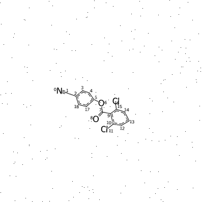 N#Cc1ccc(OC(=O)c2c(Cl)cccc2Cl)cc1